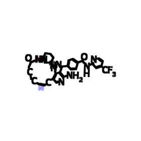 Nc1ncc2c3c1c(-c1ccc(C(=O)Nc4cc(C(F)(F)F)ccn4)cc1)nn3[C@@H]1CCC[C@H](C1)NC(=O)CCCC/C=C\C2